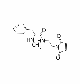 CNC(Cc1ccccc1)C(=O)NCCN1C(=O)C=CC1=O